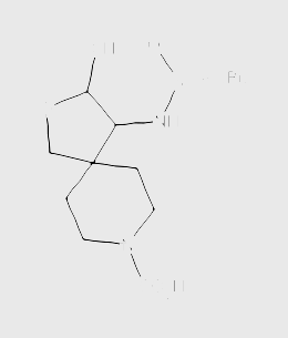 CC1OCC2(CCN(C(=O)O)CC2)C1N[S@+]([O-])C(C)(C)C